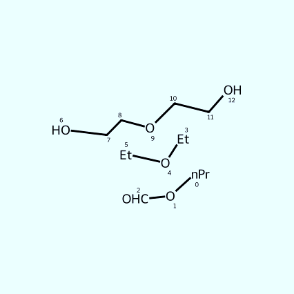 CCCOC=O.CCOCC.OCCOCCO